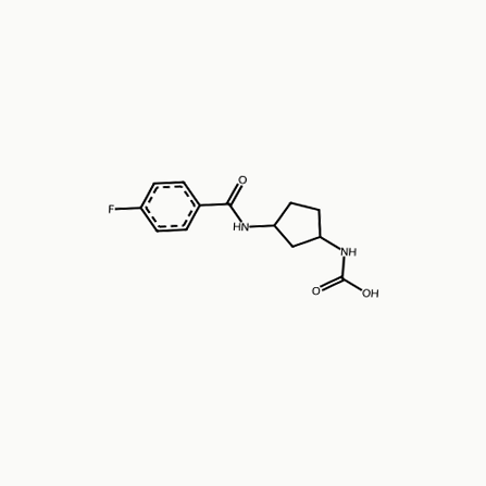 O=C(O)NC1CCC(NC(=O)c2ccc(F)cc2)C1